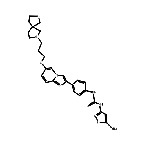 CC(C)(C)c1cc(NC(=O)Nc2ccc(-c3cn4cc(OCCCN5CCC6(CCOC6)C5)ccc4n3)cc2)no1